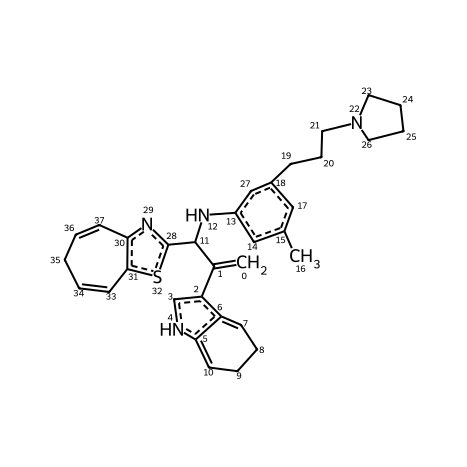 C=C(c1c[nH]c2c1=CCCC=2)C(Nc1cc(C)cc(CCCN2CCCC2)c1)c1nc2c(s1)C=CCC=C2